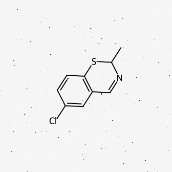 CC1N=Cc2cc(Cl)ccc2S1